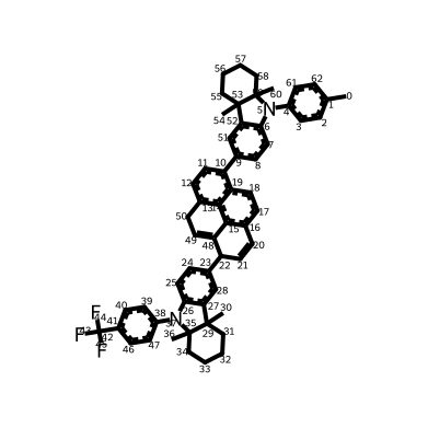 Cc1ccc(N2c3ccc(-c4ccc5c6c7c(ccc46)C=CC(c4ccc6c(c4)C4(C)CCCCC4(C)N6c4ccc(C(F)(F)F)cc4)C7=CC5)cc3C3(C)CCCCC23C)cc1